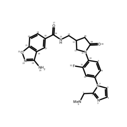 CNCc1nccn1-c1ccc(N2CC(CNC(=O)c3ccc4onc(N)c4c3)CC2=O)c(F)c1